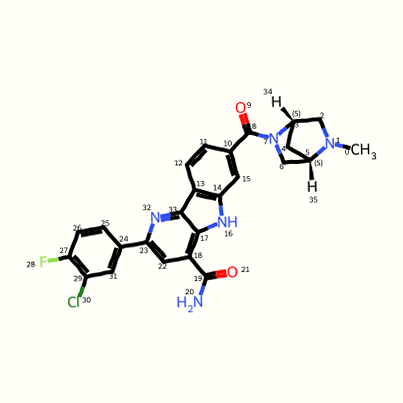 CN1C[C@@H]2C[C@H]1CN2C(=O)c1ccc2c(c1)[nH]c1c(C(N)=O)cc(-c3ccc(F)c(Cl)c3)nc12